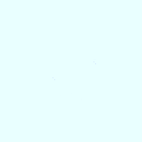 Cc1ccc(NC2=C(C(=O)O)CC(Nc3ccccc3)=C(C(=O)O)C2)cc1